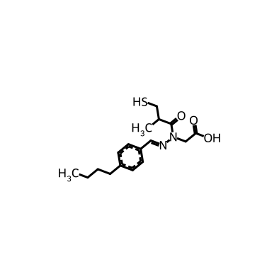 CCCCc1ccc(C=NN(CC(=O)O)C(=O)C(C)CS)cc1